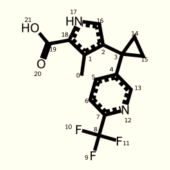 Cc1c(C2(c3ccc(C(F)(F)F)nc3)CC2)c[nH]c1C(=O)O